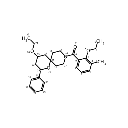 CCOc1c(C)cccc1C(=O)N1CCC2(CC1)C[C@H](OCC)C[C@H](c1ccccc1)O2